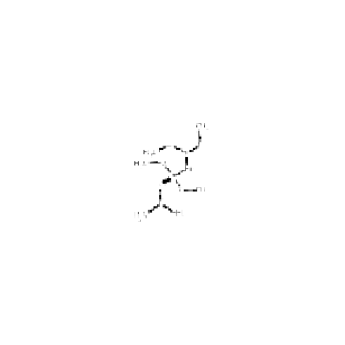 COP(NP(=NP(N)N)(OC)OC)OC